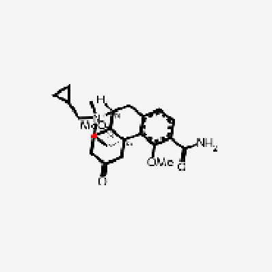 COc1c(C(N)=O)ccc2c1[C@]13CC[N+](C)(CC4CC4)[C@H](C2)[C@]1(OC)CCC(=O)C3